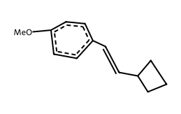 COc1ccc(/C=C/C2CCC2)cc1